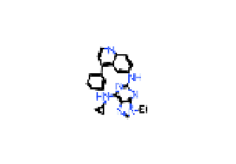 CCn1cnc2c(NC3CC3)nc(Nc3ccc4nccc(-c5ccccc5)c4c3)nc21